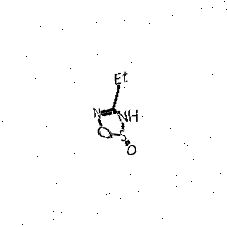 CCC1=NOS(=O)N1